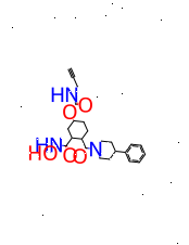 C#CCNC(=O)OC1CCC(C(=O)N2CCC(c3ccccc3)CC2)C(C(=O)NO)C1